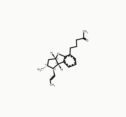 C/C=C/[C@@H]1[C@H]2c3cccc(CCCC(C)=O)c3O[C@H]2C[C@H]1C